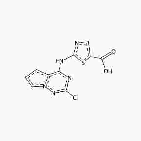 O=C(O)c1cnc(Nc2nc(Cl)nn3cccc23)s1